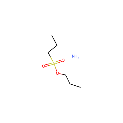 CCCOS(=O)(=O)CCC.N